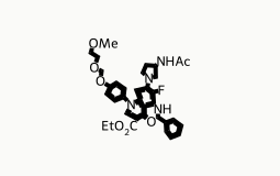 CCOC(=O)c1cn(-c2ccc(OCOCCOC)cc2)c2cc(N3CCC(NC(C)=O)C3)c(F)c(NCc3ccccc3)c2c1=O